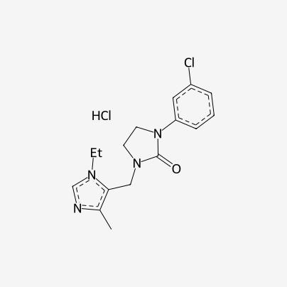 CCn1cnc(C)c1CN1CCN(c2cccc(Cl)c2)C1=O.Cl